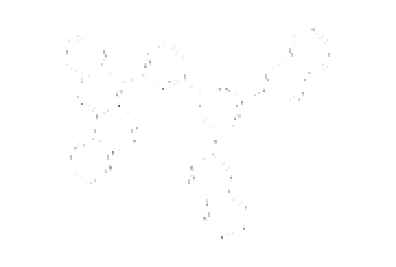 c1cc(-c2cc(-c3ccc4ccccc4c3)cc(-c3ccc4ccccc4c3)n2)cc(-c2c3ccccc3nc3c2ccc2cccnc23)c1